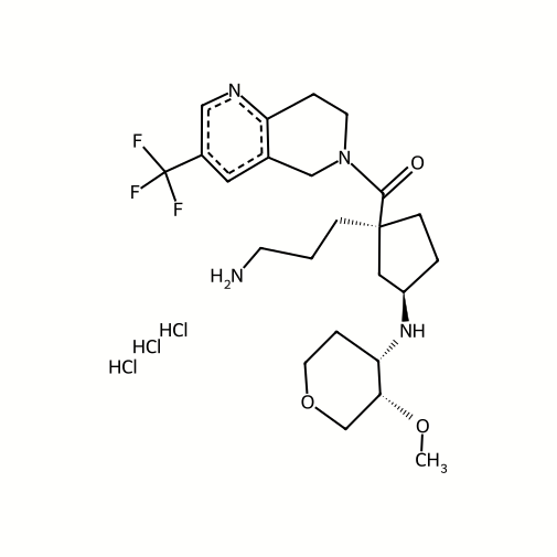 CO[C@@H]1COCC[C@@H]1N[C@@H]1CC[C@](CCCN)(C(=O)N2CCc3ncc(C(F)(F)F)cc3C2)C1.Cl.Cl.Cl